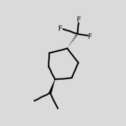 CC(C)[C@H]1CC[C@H](C(F)(F)F)CC1